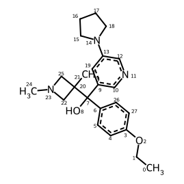 CCOc1ccc(C(O)(c2cncc(N3CCCC3)c2)C2(C)CN(C)C2)cc1